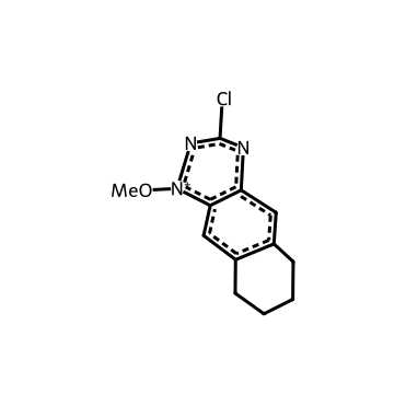 CO[n+]1nc(Cl)nc2cc3c(cc21)CCCC3